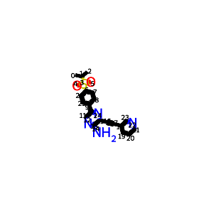 CC(C)S(=O)(=O)c1ccc(-c2cnc(N)c(C#Cc3cccnc3)n2)cc1